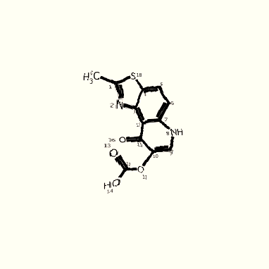 Cc1nc2c(ccc3[nH]cc(OC(=O)O)c(=O)c32)s1